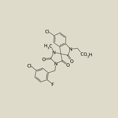 CN1C(=O)N(Cc2cc(Cl)ccc2F)C(=O)C12C(=O)N(CC(=O)O)c1ccc(Cl)cc12